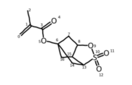 C=C(C)C(=O)OC12CC3OS(=O)(=O)C(C1)C3C2